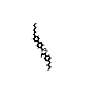 CCCCCCc1ccc(-c2ccc(C(=O)OC(C)C(=O)c3ccc(CCCC)cc3)cc2)cc1